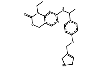 CCN1C(=O)OCc2cnc(NC(C)c3ccc(OCC4=CCNC4)cc3)nc21